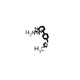 CC1CN(Cc2ccc(-c3cccc4nc(N)nn34)cc2)C1